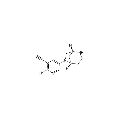 C#Cc1cc(N2C[C@H]3C[C@@H]2CCN3)cnc1Cl